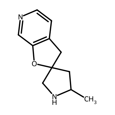 CC1CC2(CN1)Cc1ccncc1O2